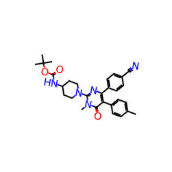 Cc1ccc(-c2c(-c3ccc(C#N)cc3)nc(N3CCC(NC(=O)OC(C)(C)C)CC3)n(C)c2=O)cc1